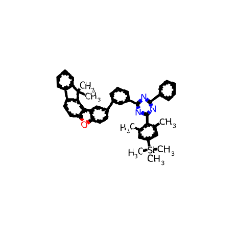 Cc1cc([Si](C)(C)C)cc(C)c1-c1nc(-c2ccccc2)nc(-c2cccc(-c3ccc4oc5ccc6c(c5c4c3)C(C)(C)c3ccccc3-6)c2)n1